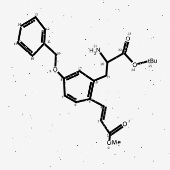 COC(=O)C=Cc1ccc(OCc2ccccc2)cc1CC(N)C(=O)OC(C)(C)C